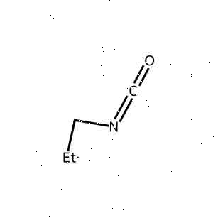 C[CH]CN=C=O